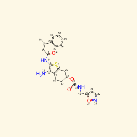 CC(CC(=O)Nc1sc2c(c1N)CCC(OC(=O)NCc1ccno1)C2)c1ccccc1